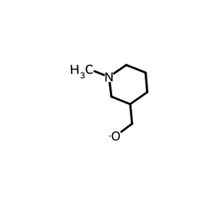 CN1CCCC(C[O])C1